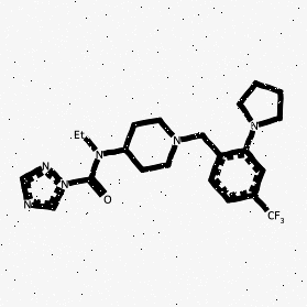 CCN(C(=O)n1cncn1)C1CCN(Cc2ccc(C(F)(F)F)cc2N2CCCC2)CC1